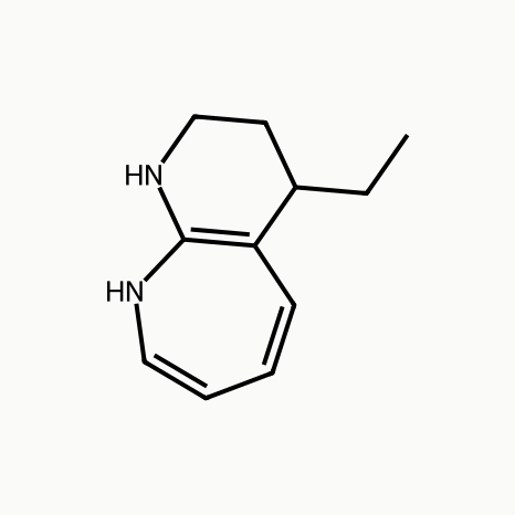 CCC1CCNC2=C1C=CC=CN2